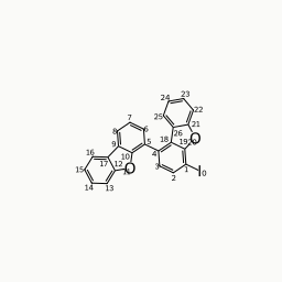 Ic1ccc(-c2cccc3c2oc2ccccc23)c2c1oc1ccccc12